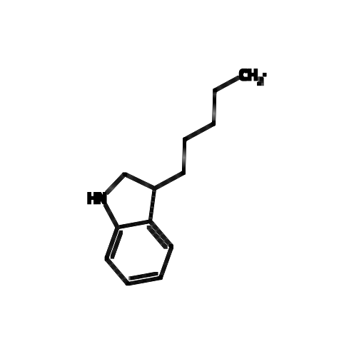 [CH2]CCCCC1CNc2ccccc21